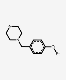 CCOc1ccc(CN2CC[N]CC2)cc1